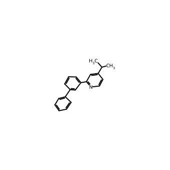 CC(C)c1ccnc(-c2cccc(-c3ccccc3)c2)c1